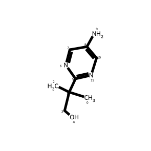 CC(C)(CO)c1ncc(N)cn1